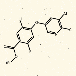 CC(C)(C)OC(=O)c1cc(Cl)c(Oc2cnc(Cl)c(Cl)c2)cc1F